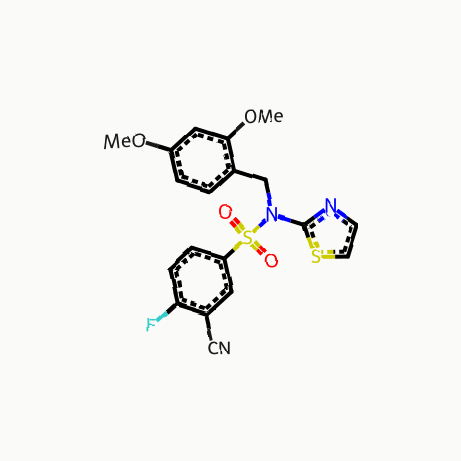 COc1ccc(CN(c2nccs2)S(=O)(=O)c2ccc(F)c(C#N)c2)c(OC)c1